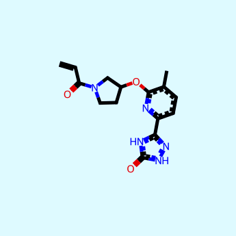 C=CC(=O)N1CCC(Oc2nc(-c3n[nH]c(=O)[nH]3)ccc2C)C1